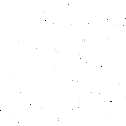 O=C(O)C(=NOC1CCCC1)c1ccc(Cl)c(Cl)c1